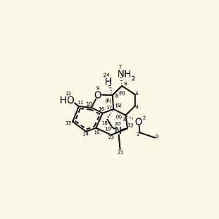 CCO[C@@]12CC[C@@H](N)[C@@H]3Oc4c(O)ccc5c4[C@@]31CCN(C)C2C5